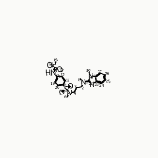 CN(CCCN(C)S(=O)(=O)c1ccc(NS(C)(=O)=O)cc1)c1nc2ccccc2n1C